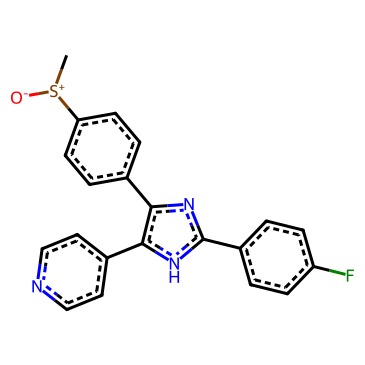 C[S+]([O-])c1ccc(-c2nc(-c3ccc(F)cc3)[nH]c2-c2ccncc2)cc1